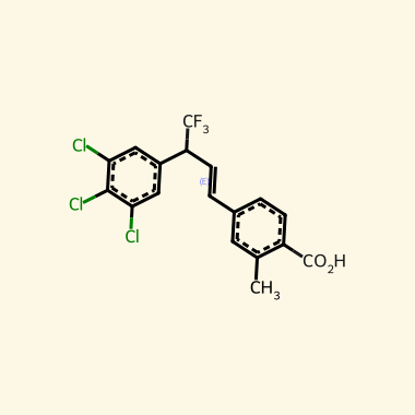 Cc1cc(/C=C/C(c2cc(Cl)c(Cl)c(Cl)c2)C(F)(F)F)ccc1C(=O)O